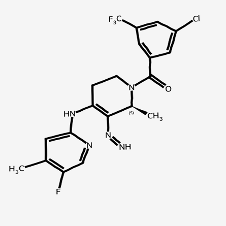 Cc1cc(NC2=C(N=N)[C@H](C)N(C(=O)c3cc(Cl)cc(C(F)(F)F)c3)CC2)ncc1F